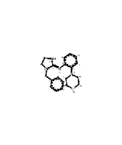 c1ccc(CN2CCN/C2=N\c2ccccc2N2CCOCC2)cc1